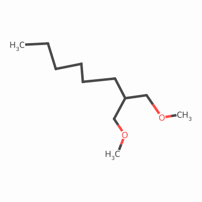 CCCCCCC(COC)COC